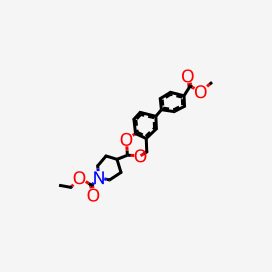 CCOC(=O)N1CCC(C2OCc3cc(-c4ccc(C(=O)OC)cc4)ccc3O2)CC1